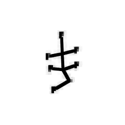 F[CH]C(F)(F)C(F)(F)F